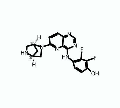 Oc1ccc(Nc2ncnc3ccc(N4C[C@@H]5C[C@H]4CN5)nc23)c(F)c1F